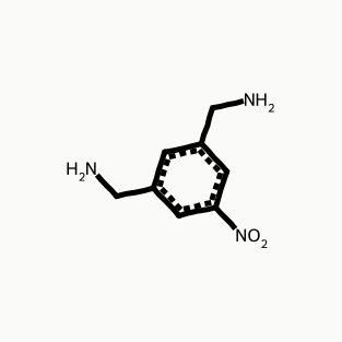 NCc1cc(CN)cc([N+](=O)[O-])c1